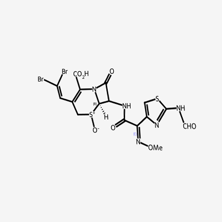 CO/N=C(/C(=O)NC1C(=O)N2C(C(=O)O)=C(C=C(Br)Br)C[S+]([O-])[C@H]12)c1csc(NC=O)n1